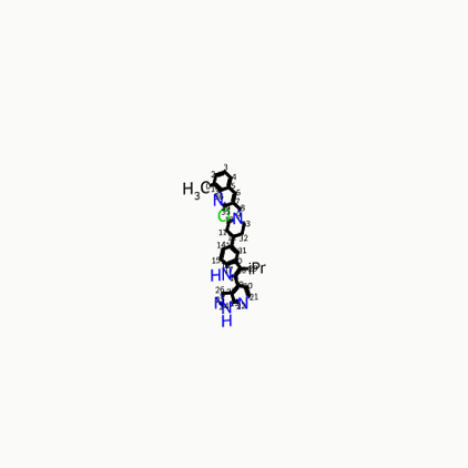 Cc1cccc2cc(CN3CCC(c4ccc5[nH]c(-c6ccnc7[nH]ncc67)c(C(C)C)c5c4)CC3)c(Cl)nc12